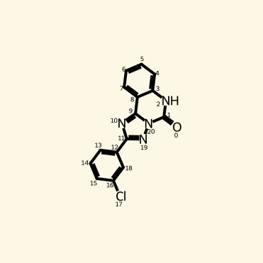 O=c1[nH]c2ccccc2c2nc(-c3cccc(Cl)c3)nn12